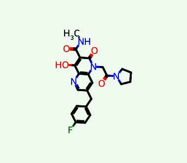 CNC(=O)c1c(O)c2ncc(Cc3ccc(F)cc3)cc2n(CC(=O)N2CCCC2)c1=O